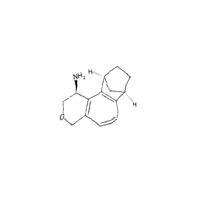 N[C@@H]1COCc2ccc3c(c21)[C@H]1CC[C@@H]3C1